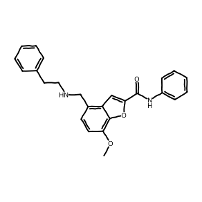 COc1ccc(CNCCc2ccccc2)c2cc(C(=O)Nc3ccccc3)oc12